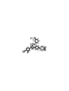 N#Cc1ccc(-c2cc(NC[C@H]3CCC[C@H](N)C3)n(-c3ccc(N4CCS(=O)(=O)CC4)cc3)n2)cc1F